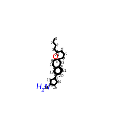 CCCCC1CCCC2(CCc3cc(C4CC[C@@H](N)C4)ccc3C2)O1